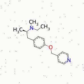 CCN(C)[C@H](C)Cc1ccc(OCc2ccncc2)cc1